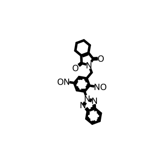 O=Nc1cc(CN2C(=O)C3=C(CCCC3)C2=O)c(N=O)c(-n2nc3ccccc3n2)c1